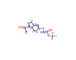 CC(C)(C)OC(=O)NCc1ccc2c(ccn2C(=O)O)n1